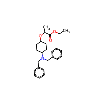 CCOC(=O)C(C)OC1CCC(N(Cc2ccccc2)Cc2ccccc2)CC1